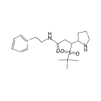 CC(C)(C)S(=O)(=O)C(CC(=O)NCCc1ccccc1)C1CCCN1